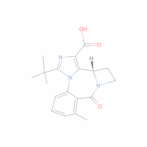 Cc1cccc2c1C(=O)N1CC[C@H]1c1c(C(=O)O)nc(C(C)(C)C)n1-2